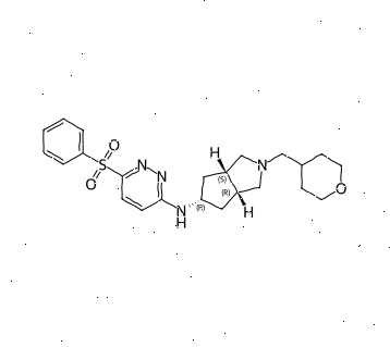 O=S(=O)(c1ccccc1)c1ccc(N[C@@H]2C[C@@H]3CN(CC4CCOCC4)C[C@@H]3C2)nn1